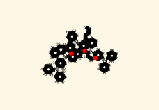 C/C=C\C=C/c1cccc(N(C(/C=C\C)=C/C2=Cc3ccc(N(C4=CC=CC5=CC=CCC54)c4ccc(N(c5ccccc5)c5ccccc5)cc4)cc3C23c2ccccc2-n2c4ccccc4c4cccc3c42)c2ccc(N(c3ccccc3)c3ccccc3)cc2)c1